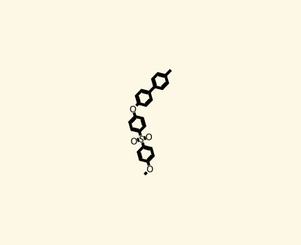 COc1ccc(S(=O)(=O)c2ccc(Oc3ccc(-c4ccc(C)cc4)cc3)cc2)cc1